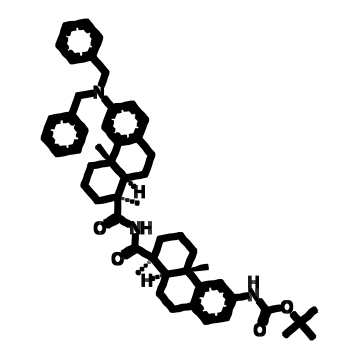 CC(C)(C)OC(=O)Nc1ccc2c(c1)[C@@]1(C)CCC[C@](C)(C(=O)NC(=O)[C@@]3(C)CCC[C@]4(C)c5cc(N(Cc6ccccc6)Cc6ccccc6)ccc5CC[C@@H]34)[C@@H]1CC2